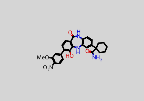 COc1cc(-c2ccc3c(c2O)Nc2cc(C4(C(N)=O)CCCCC4)ccc2NC3=O)ccc1[N+](=O)[O-]